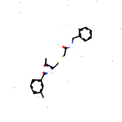 COc1ccccc1CNC(=O)CSCc1nc(-c2cccc(C)c2)oc1C